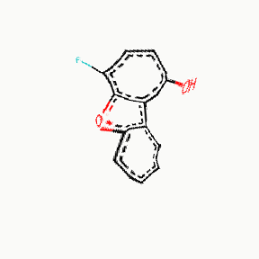 Oc1ccc(F)c2oc3ccccc3c12